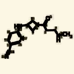 CNCCC(=O)N1CC(Nc2ccc(C#N)cn2)C1